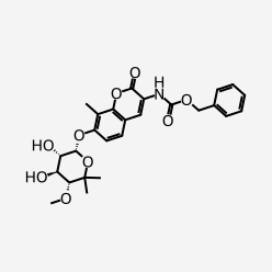 CO[C@@H]1[C@@H](O)[C@H](O)[C@H](Oc2ccc3cc(NC(=O)OCc4ccccc4)c(=O)oc3c2C)OC1(C)C